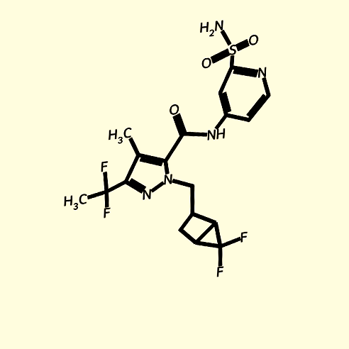 Cc1c(C(C)(F)F)nn(CC2CC3C2C3(F)F)c1C(=O)Nc1ccnc(S(N)(=O)=O)c1